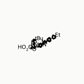 CC[C@H]1CC[C@H](c2ccc(-c3cnc(-c4ccc(C[C@@H](NC(=O)c5ccc(C(C)(C)C)s5)C(=O)N[C@H](C)C(=O)O)cc4)nc3)cc2)CC1